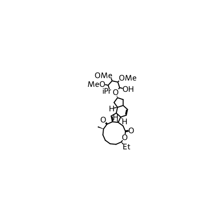 CC[C@H]1CCCC[C@@H](C)C(=O)C2=CC3[C@@H]4C[C@H](OC(O)C(OC)C(OC)C(OC)C(C)C)CC4C=C[C@H]3[C@@H]2CC(=O)O1